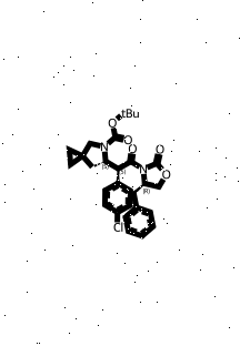 CC(C)(C)OC(=O)N1CC2(CC2)C[C@H]1[C@@H](C(=O)N1C(=O)OC[C@H]1Cc1ccccc1)c1ccc(Cl)cc1